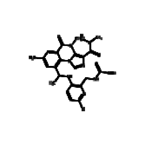 COC(=O)NCc1nc(Cl)ccc1NC(C)c1cc(C)cc2c(=O)n(C)c3c(C(=O)N(C)C)ncn3c12